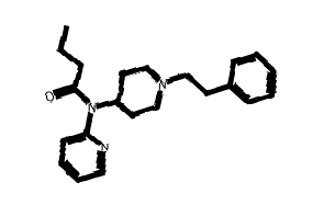 CCCC(=O)N(c1ccccn1)C1CCN(CCc2ccccc2)CC1